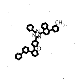 Cc1cccc(-c2ccc(-c3nc(-c4ccccc4)nc(-c4ccc5c(c4)oc4cccc(-c6cccc(-c7ccccc7)c6)c45)n3)c3ccccc23)c1